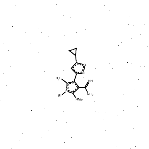 CNc1c(C(=N)N)c(-c2cc(C3CC3)on2)c(C)n1C(C)C